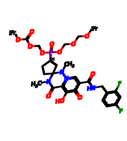 CC(C)OCOCOP(=O)(OCOC(=O)OC(C)C)[C@@H]1CCC2(C1)N(C)C(=O)c1c(O)c(=O)c(C(=O)NCc3ccc(F)cc3F)cn1N2C